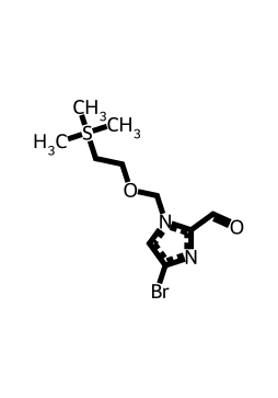 CS(C)(C)CCOCn1cc(Br)nc1C=O